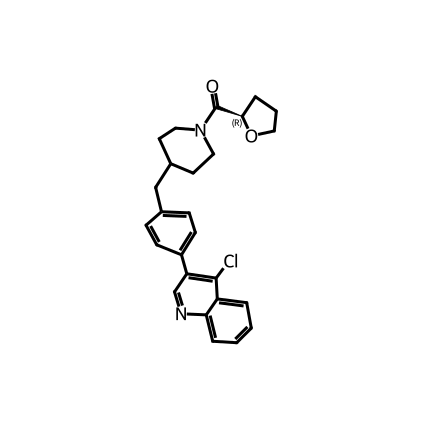 O=C([C@H]1CCCO1)N1CCC(Cc2ccc(-c3cnc4ccccc4c3Cl)cc2)CC1